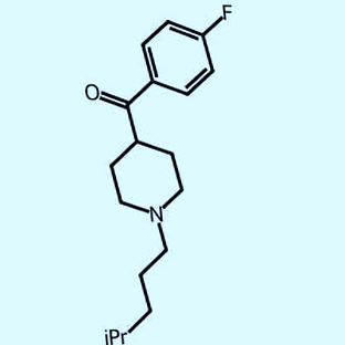 CC(C)CCCN1CCC(C(=O)c2ccc(F)cc2)CC1